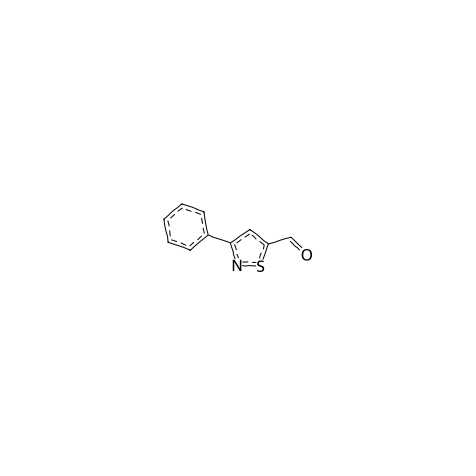 O=Cc1cc(-c2ccccc2)ns1